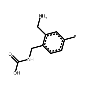 NCc1cc(F)ccc1CNC(=O)O